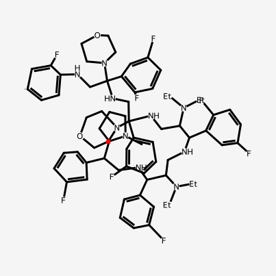 CCN(CC)C(CNC(c1cc(F)ccc1F)C(CNC(CNC(CNc1cc[c]cc1F)(c1cc(F)ccc1F)N1CCOCC1)(c1cccc(F)c1)N1CCOCC1)N(CC)CC)C(NCC(c1cccc(F)c1)C1CCCN1C)c1cccc(F)c1